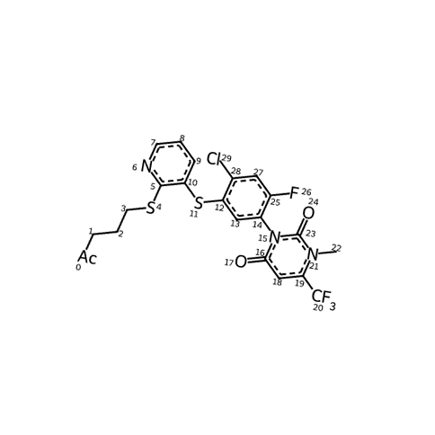 CC(=O)CCCSc1ncccc1Sc1cc(-n2c(=O)cc(C(F)(F)F)n(C)c2=O)c(F)cc1Cl